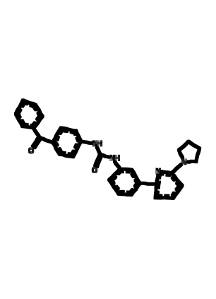 O=C(Nc1ccc(C(=O)c2ccccc2)cc1)Nc1cccc(-c2cccc(N3CCCC3)n2)c1